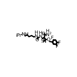 CC(C)NCCCCCNC(=O)Nc1snc(OCc2cc(F)c(F)cc2F)c1C(N)=O